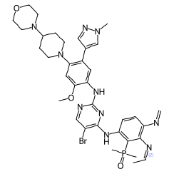 C=Nc1ccc(Nc2nc(Nc3cc(-c4cnn(C)c4)c(N4CCC(N5CCOCC5)CC4)cc3OC)ncc2Br)c(P(C)(C)=O)c1/N=C\C